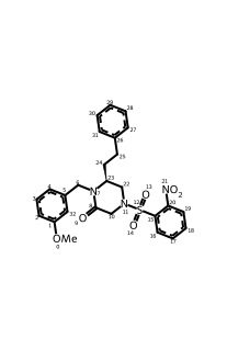 COc1cccc(CN2C(=O)CN(S(=O)(=O)c3ccccc3[N+](=O)[O-])C[C@@H]2CCc2ccccc2)c1